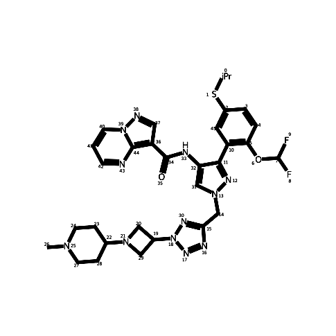 CC(C)Sc1ccc(OC(F)F)c(-c2nn(Cc3nnn(C4CN(C5CCN(C)CC5)C4)n3)cc2NC(=O)c2cnn3cccnc23)c1